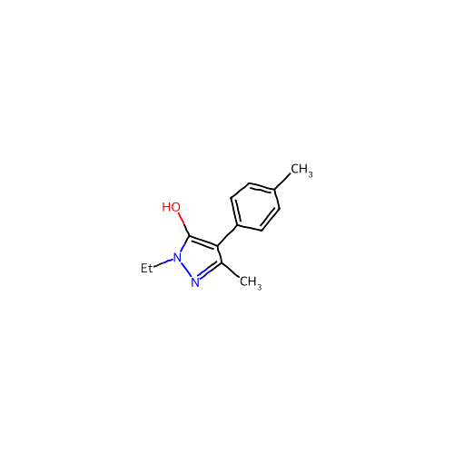 CCn1nc(C)c(-c2ccc(C)cc2)c1O